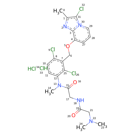 Cc1nc2c(OCc3c(Cl)ccc(N(C)C(=O)CNC(=O)CN(C)C)c3Cl)cccn2c1Cl.Cl.Cl